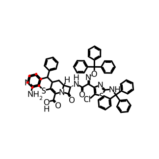 Nc1ncccc1SC1=C(C(=O)O)N2C(=O)[C@@H](NC(=O)C(=NOC(c3ccccc3)(c3ccccc3)c3ccccc3)c3nc(NC(c4ccccc4)(c4ccccc4)c4ccccc4)sc3Cl)[C@H]2CC1C(c1ccccc1)c1ccccc1